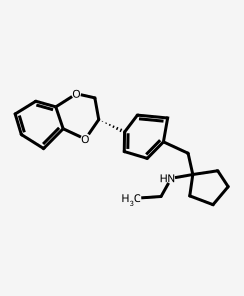 CCNC1(Cc2ccc([C@H]3COc4ccccc4O3)cc2)CCCC1